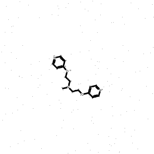 CN(CCOc1ccncc1)CCOc1ccncc1